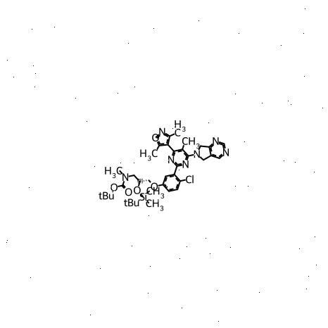 Cc1noc(C)c1-c1nc(-c2cc(OC[C@@H](CN(C)C(=O)OC(C)(C)C)O[Si](C)(C)C(C)(C)C)ccc2Cl)nc(N2Cc3cncnc3C2)c1C